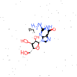 Nc1nc2c(ncn2[C@@H]2O[C@H](CO)[C@@H](O)[C@H]2O)c(=O)[nH]1.[Pt]